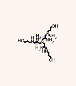 N/C(=C\NCCCO)CN(C/C(N)=C/NCCCO)C/C(N)=C/N(N)CCCO